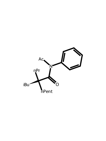 CCCCCC(CCC)(C(=O)N(C(C)=O)c1ccccc1)[C@H](C)CC